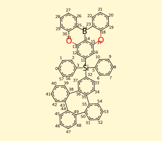 c1ccc([Si](c2ccccc2)(c2cc3c4c(c2)Oc2ccccc2B4c2ccccc2O3)c2ccc3c(c2)-c2ccccc2-c2ccccc2-c2ccccc2-3)cc1